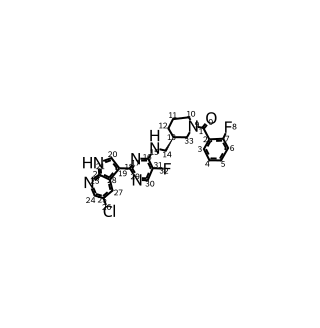 O=C(c1ccccc1F)N1CCC[C@H](CNc2nc(-c3c[nH]c4ncc(Cl)cc34)ncc2F)C1